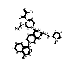 C=C(F)C(=O)N1CCN(c2nc(OC[C@@H]3CCCN3C)nc3c2CCN(c2ncc(F)c4c2CCCC4)C3)C[C@@H]1CC#N